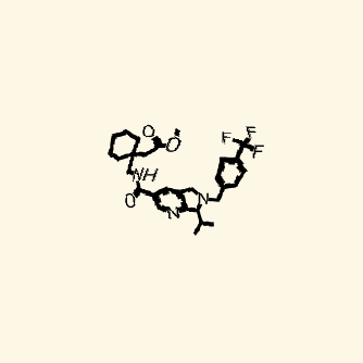 COC(=O)CC1(CNC(=O)c2cnc3c(c2)CN(Cc2ccc(C(F)(F)F)cc2)C3C(C)C)CCCCC1